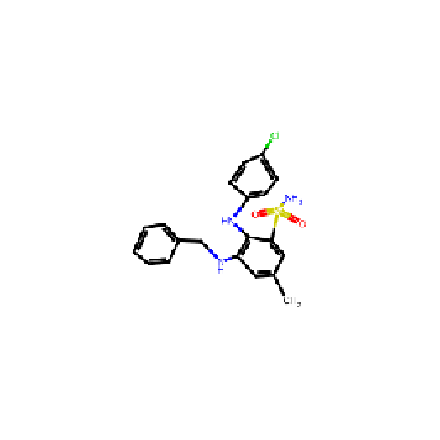 [CH2]c1cc(NCc2ccccc2)c(Nc2ccc(Cl)cc2)c(S(N)(=O)=O)c1